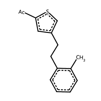 CC(=O)c1cc(CCc2ccccc2C)cs1